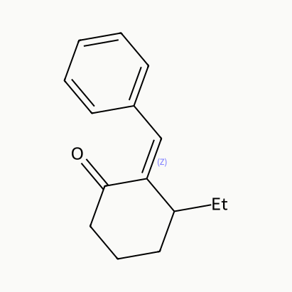 CCC1CCCC(=O)/C1=C\c1ccccc1